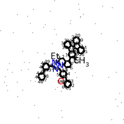 CCC(Cc1ccccc1-c1cc2c(cc1C)C1(C3=C(C=CCC3)c3ccccc31)c1ccccc1-2)c1nc(-c2cccc(C3=CC=CCC3)c2)nc(-c2ccc3c(c2)oc2ccccc23)n1